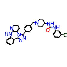 O=C(Nc1cccc(Cl)c1)NC1CCN(Cc2ccc(-c3nnc4n3-c3cccnc3Nc3ccccc3-4)cc2)CC1